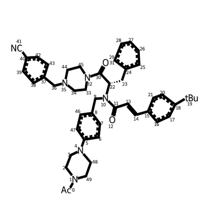 CC(=O)N1CCN(c2ccc(CN(C(=O)/C=C/c3ccc(C(C)(C)C)cc3)[C@@H](Cc3ccccc3)C(=O)N3CCN(Cc4ccc(C#N)cc4)CC3)cc2)CC1